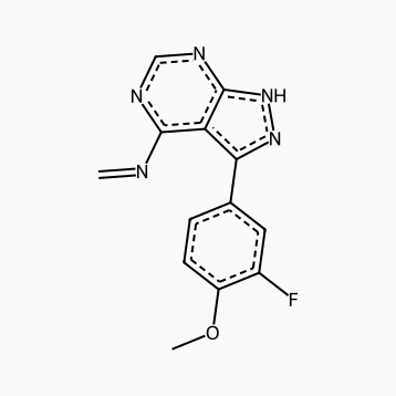 C=Nc1ncnc2[nH]nc(-c3ccc(OC)c(F)c3)c12